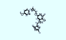 COc1ccc([C@@H]2CC2COc2cc(NCc3nc(C)nn3C)c(=O)n(C)n2)nc1